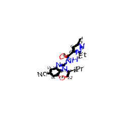 CCn1nc(C)cc1C(=O)Nc1nc2cc(C#N)cc3c2n1[C@@H](C(C)C)CO3